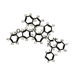 c1ccc(-c2nc(-n3c4ccccc4c4c3ccc3c5cc6c(cc5n(-c5cccc7ccccc57)c34)oc3ccccc36)nc3ccccc23)cc1